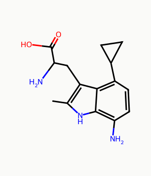 Cc1[nH]c2c(N)ccc(C3CC3)c2c1CC(N)C(=O)O